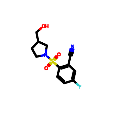 N#Cc1cc(F)ccc1S(=O)(=O)N1CCC(CO)C1